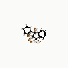 BrC1(Br)c2ccccc2C(Br)(c2ccccc2)C1(Br)Br